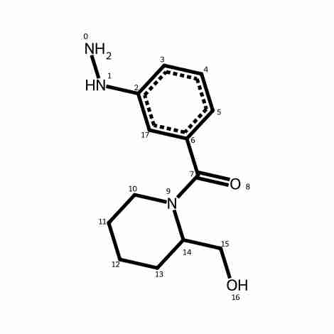 NNc1cccc(C(=O)N2CCCCC2CO)c1